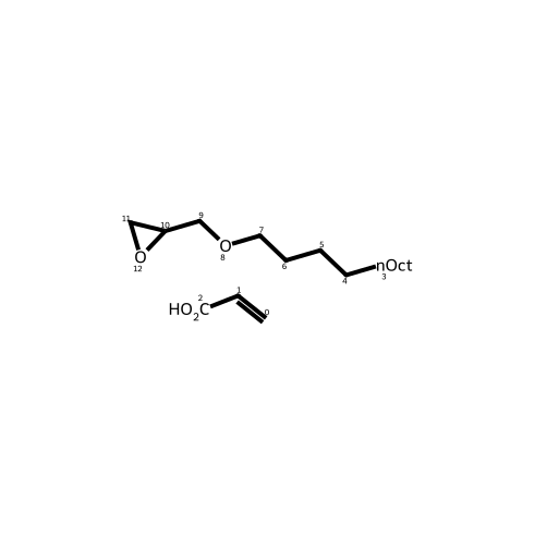 C=CC(=O)O.CCCCCCCCCCCCOCC1CO1